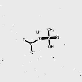 CS(=O)(=O)O.[Li+].[O-]B(F)F